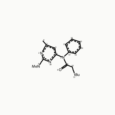 CNc1nc(C)cc(N(C(=O)CC(C)(C)C)c2ccccc2)n1